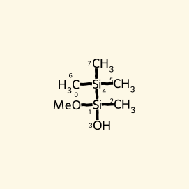 CO[Si](C)(O)[Si](C)(C)C